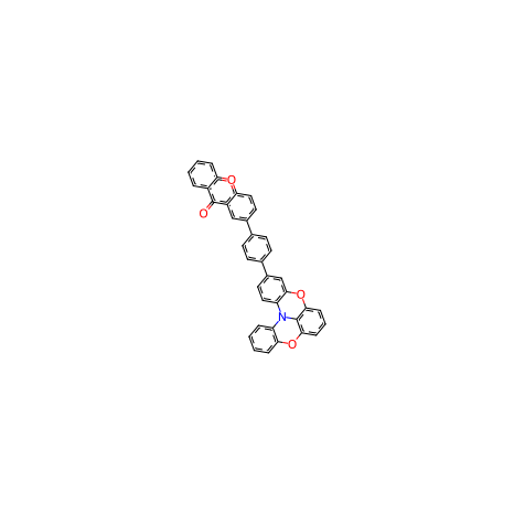 O=c1c2ccccc2oc2ccc(-c3ccc(-c4ccc5c(c4)Oc4cccc6c4N5c4ccccc4O6)cc3)cc12